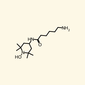 CC1(C)CC(NC(=O)CCCCCN)CC(C)(C)N1O